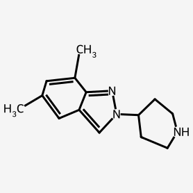 Cc1cc(C)c2nn(C3CCNCC3)cc2c1